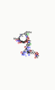 COc1cc2cc(c1Cl)N(C)C(=O)C[C@H](OC(=O)[C@H](C)N(C)C(=O)c1ccc(NC(=O)[C@H](CCCNC(N)=O)NC[C@](C=O)(NC(=O)CCCCC(=O)ON3C(=O)CCC3=O)C(C)C)cc1Cl)[C@]1(C)O[C@H]1[C@H](C)[C@@H]1C[C@@](O)(NC(=O)O1)[C@H](OC)/C=C/C=C(\C)C2